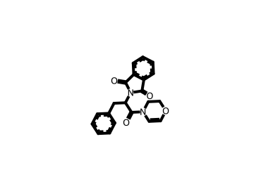 O=C(C(Cc1ccccc1)N1C(=O)c2ccccc2C1=O)N1C=COCC1